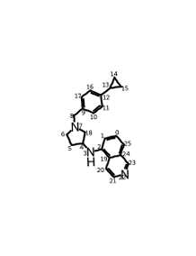 c1cc(NC2CCN(Cc3ccc(C4CC4)cc3)C2)c2ccncc2c1